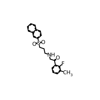 Cc1cccc(C(=O)CNCCCS(=O)(=O)c2ccc3ccccc3c2)c1F